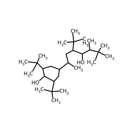 CC(CC(C(O)C(C)C(C)(C)C)C(C)(C)C)C1CC(C(C)(C)C)C(O)C(C(C)(C)C)C1